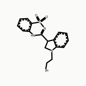 CC(C)CCN1CC(C2=NS(=O)(=O)c3ccccc3N2)c2ccccc21